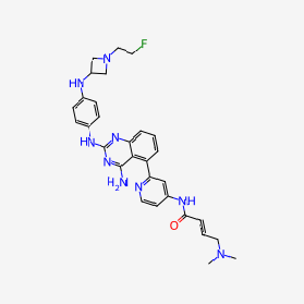 CN(C)C/C=C/C(=O)Nc1ccnc(-c2cccc3nc(Nc4ccc(NC5CN(CCF)C5)cc4)nc(N)c23)c1